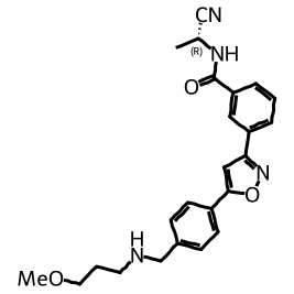 COCCCNCc1ccc(-c2cc(-c3cccc(C(=O)N[C@H](C)C#N)c3)no2)cc1